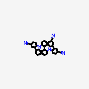 N#Cc1ccc2c(c1)c1ccccc1n2-c1ccccc1-c1ccccc1-n1c2ccc(C#N)cc2c2cc(C#N)ccc21